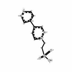 O=S(=O)(O)CC[n+]1ccc(-c2ccnnc2)cn1